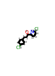 O=C(CCc1ccc(Cl)cc1)c1cccc(Cl)n1